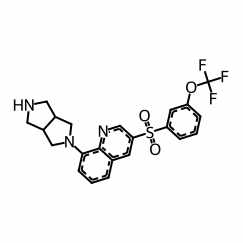 O=S(=O)(c1cccc(OC(F)(F)F)c1)c1cnc2c(N3CC4CNCC4C3)cccc2c1